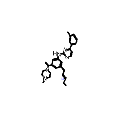 C=C(c1cc(C/C=C/CC)cc(Nc2nccc(-c3cccc(C)c3)n2)c1)N1CCN(C)CC1